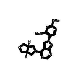 COc1ncc(-n2cc3c(N4C[C@H]5COC[C@H]5C4)ncnc3n2)c(OC)n1